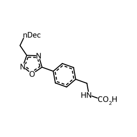 CCCCCCCCCCCc1noc(-c2ccc(CNC(=O)O)cc2)n1